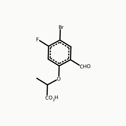 CC(Oc1cc(F)c(Br)cc1C=O)C(=O)O